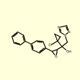 OC(Cn1cncn1)(C1OC1c1ccc(-c2ccccc2)cc1)C1(Cl)CC1